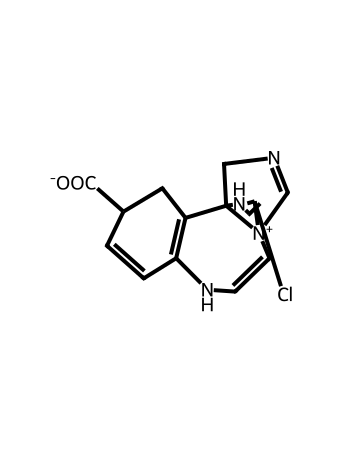 O=C([O-])C1C=CC2=C(C1)C13CN=C[N+]1(C=CN2)C(Cl)=CN3